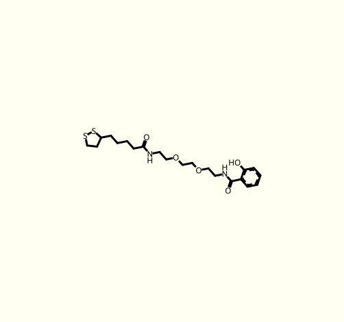 O=C(CCCCC1CCSS1)NCCOCCOCCNC(=O)c1ccccc1O